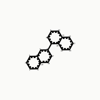 [c]1cccc2cc(-c3cccc4ccccc34)ccc12